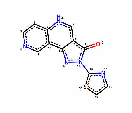 O=c1c2c[nH]c3ccncc3c-2nn1-c1nccs1